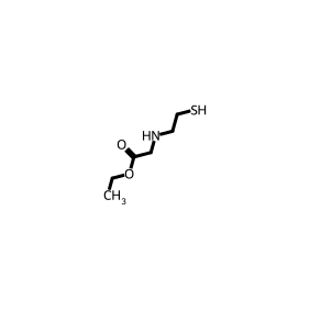 CCOC(=O)CNCCS